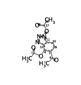 CC(=O)Oc1c(C(C)=O)ccc2c1nnn2OC(C)=O